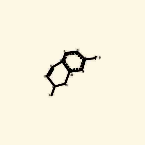 CC1C=Cc2ccc(F)cc2C1